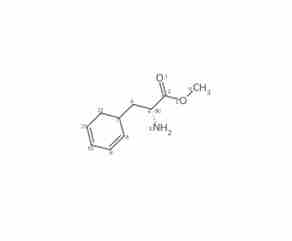 COC(=O)[C@H](N)CC1C=CC=CC1